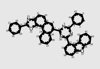 c1ccc(-c2nc(-c3cc4ccc5nc(-c6ccccc6)oc5c4c4ccccc34)nc(-c3cccc4oc5ccccc5c34)n2)cc1